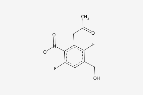 CC(=O)Cc1c(F)c(CO)cc(F)c1[N+](=O)[O-]